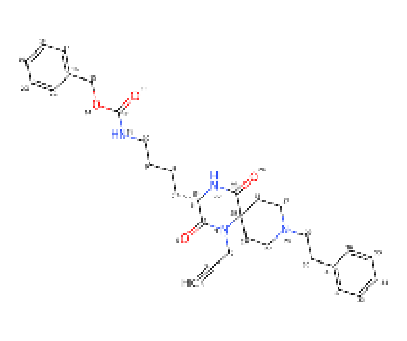 C#CCN1C(=O)[C@H](CCCCNC(=O)OCc2ccccc2)NC(=O)C12CCN(CCc1ccccc1)CC2